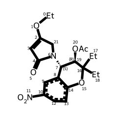 CCOC1=CC(=O)N([C@H]2c3cc([N+](=O)[O-])ccc3OC(CC)(CC)[C@@H]2OC(C)=O)C1